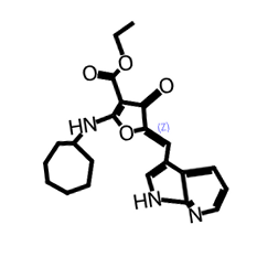 CCOC(=O)C1=C(NC2CCCCCC2)O/C(=C\c2c[nH]c3ncccc23)C1=O